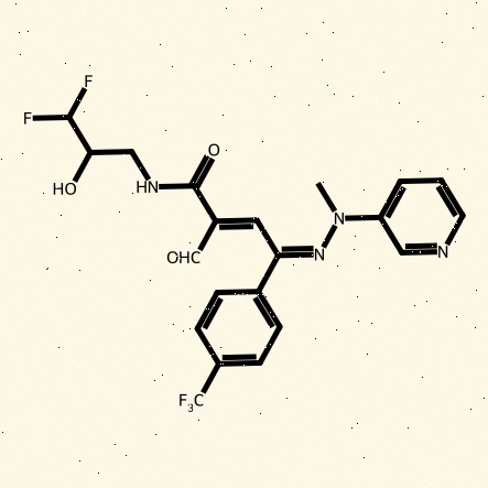 CN(/N=C(\C=C(/C=O)C(=O)NCC(O)C(F)F)c1ccc(C(F)(F)F)cc1)c1cccnc1